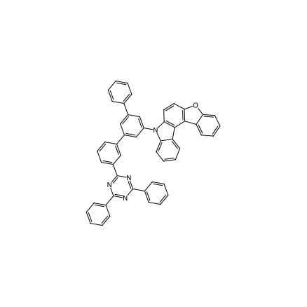 c1ccc(-c2cc(-c3cccc(-c4nc(-c5ccccc5)nc(-c5ccccc5)n4)c3)cc(-n3c4ccccc4c4c5c(ccc43)oc3ccccc35)c2)cc1